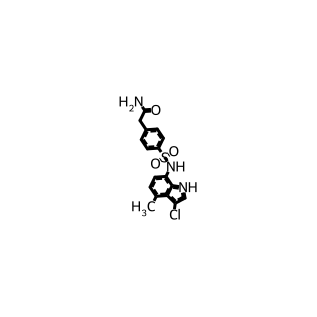 Cc1ccc(NS(=O)(=O)c2ccc(CC(N)=O)cc2)c2[nH]cc(Cl)c12